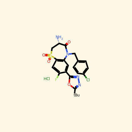 CC(C)(C)c1nnc(-c2cc3c(cc2F)S(=O)(=O)C[C@H](N)C(=O)N3Cc2ccc(Cl)cc2)o1.Cl